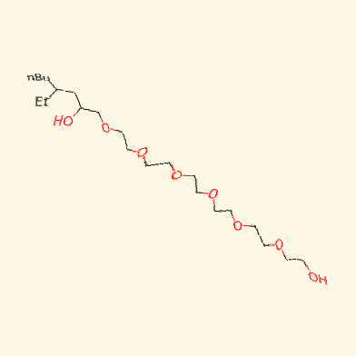 CCCCC(CC)CC(O)COCCOCCOCCOCCOCCOCCO